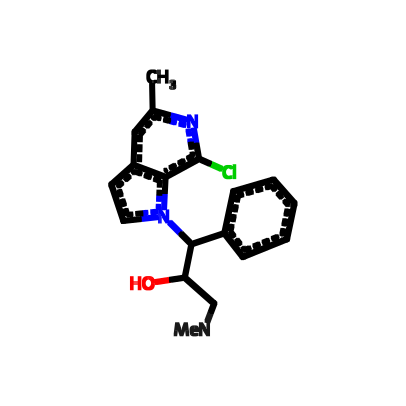 CNCC(O)C(c1ccccc1)n1ccc2cc(C)nc(Cl)c21